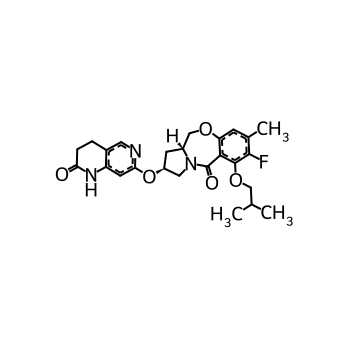 Cc1cc2c(c(OCC(C)C)c1F)C(=O)N1C[C@@H](Oc3cc4c(cn3)CCC(=O)N4)C[C@@H]1CO2